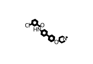 CN1CCC(Oc2ccc(-c3ccc(NC(=O)c4cccc(Cl)c4)cc3)cc2)CC1